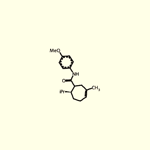 COc1ccc(NC(=O)C2CC(C)=CCC[C@H]2C(C)C)cc1